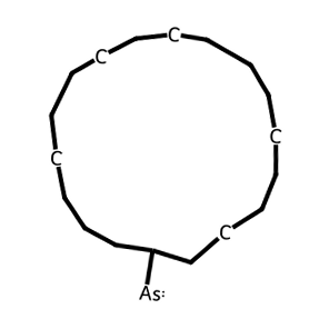 [As]C1CCCCCCCCCCCCCCCCC1